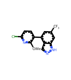 COc1nc(Cl)ccc1-c1cc(C(F)(F)F)cc2[nH]ncc12